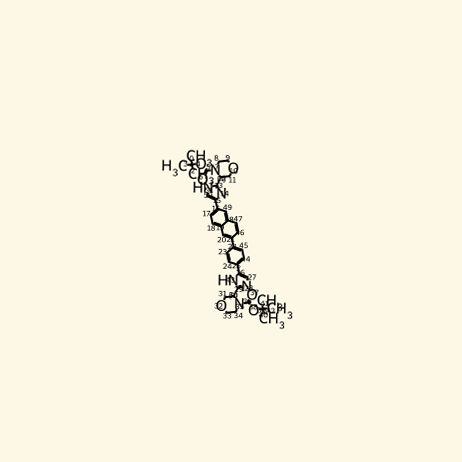 CC(C)(C)OC(=O)N1CCOC[C@H]1c1nc(-c2ccc3cc(-c4ccc(-c5cnc([C@@H]6COCCN6C(=O)OC(C)(C)C)[nH]5)cc4)ccc3c2)c[nH]1